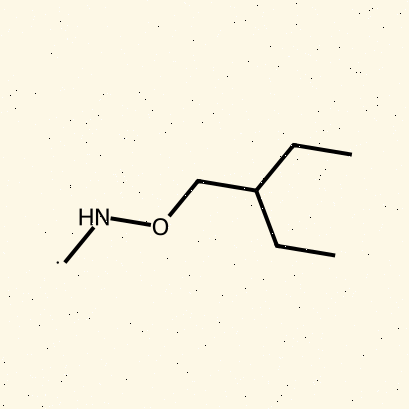 [CH2]NOCC(CC)CC